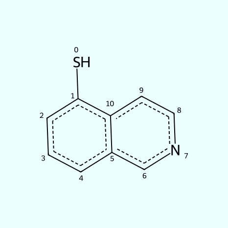 Sc1cccc2cnccc12